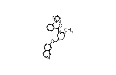 C[C@H]1CC[C@@H](COc2ccc3ccncc3c2)CN1C(=O)c1ccccc1-n1nccn1